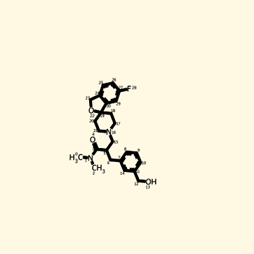 CN(C)C(=O)C(Cc1cccc(CO)c1)CN1CCC2(CC1)OCc1ccc(F)cc12